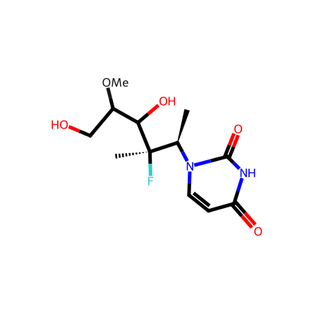 COC(CO)C(O)[C@](C)(F)[C@@H](C)n1ccc(=O)[nH]c1=O